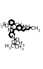 CCCc1cc2cc(-c3c4c(nn3-c3c(C)cccc3OC)CCN(C(=O)OC(C)(C)C)C4)ccc2[nH]1